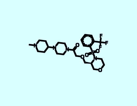 CN1CCC(N2CCN(C(=O)COC[C@@H]3COCCN3S(=O)(=O)c3ccccc3C(F)(F)F)CC2)CC1